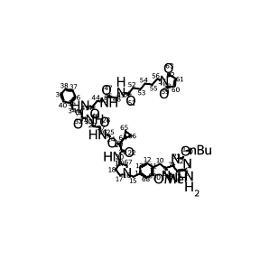 CCCCOc1nc(N)c2[nH]nc(Cc3ccc(CN4CC[C@@H](NC(=O)[C@@H](OCNC(=O)CNC(=O)[C@H](Cc5ccccc5)NC(=O)CNC(=O)CNC(=O)CCCCCN5C(=O)C=CC5=O)C5CC5)C4)cc3OC)c2n1